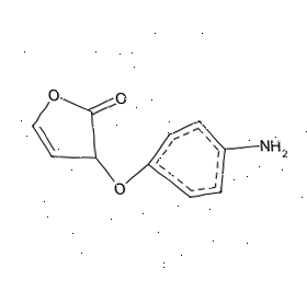 Nc1ccc(OC2C=COC2=O)cc1